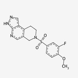 COc1ccc(S(=O)(=O)N2CCc3c(cnc4[nH]ncc34)C2)cc1F